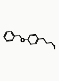 ICCCC1=CCC(OCc2ccccc2)C=C1